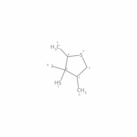 CC1CSC(C)C1(S)I